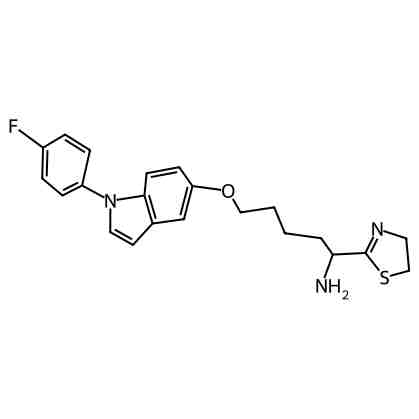 NC(CCCCOc1ccc2c(ccn2-c2ccc(F)cc2)c1)C1=NCCS1